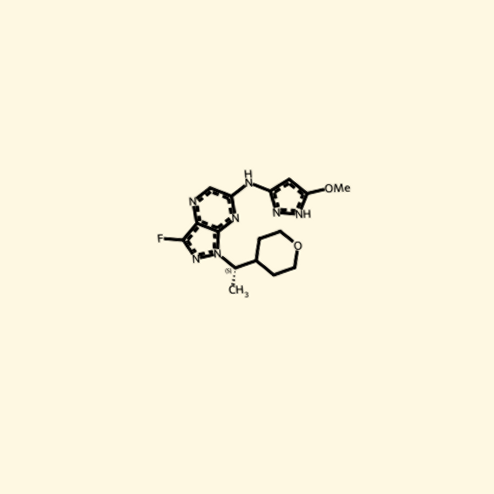 COc1cc(Nc2cnc3c(F)nn([C@@H](C)C4CCOCC4)c3n2)n[nH]1